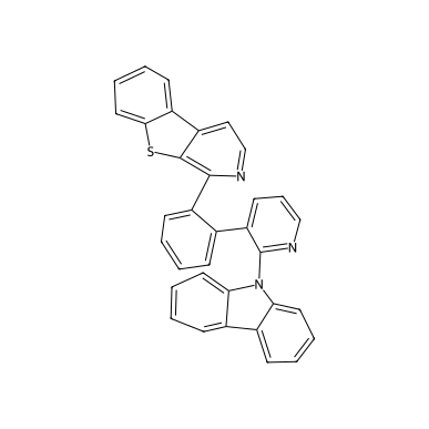 c1ccc(-c2nccc3c2sc2ccccc23)c(-c2cccnc2-n2c3ccccc3c3ccccc32)c1